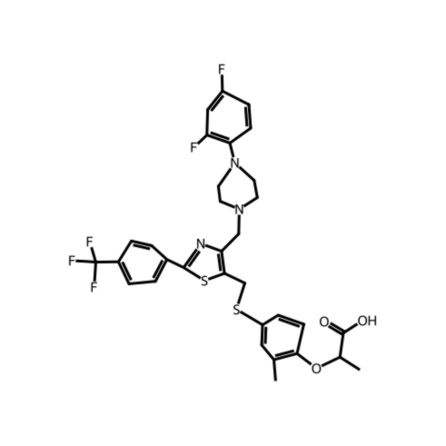 Cc1cc(SCc2sc(-c3ccc(C(F)(F)F)cc3)nc2CN2CCN(c3ccc(F)cc3F)CC2)ccc1OC(C)C(=O)O